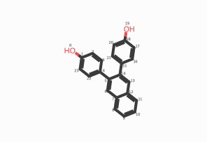 Oc1ccc(-c2[c]c3ccccc3cc2-c2ccc(O)cc2)cc1